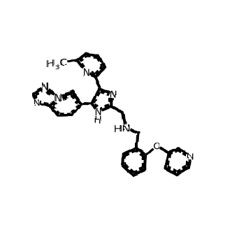 Cc1cccc(-c2nc(CNCc3ccccc3Oc3cccnc3)[nH]c2-c2ccc3ncnn3c2)n1